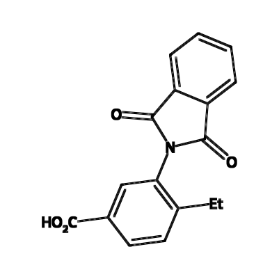 CCc1ccc(C(=O)O)cc1N1C(=O)c2ccccc2C1=O